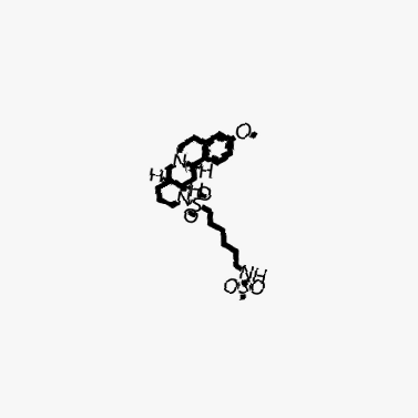 COc1ccc2c(c1)CCN1C[C@H]3CCCN(S(=O)(=O)CCCCCCNS(C)(=O)=O)[C@H]3C[C@@H]21